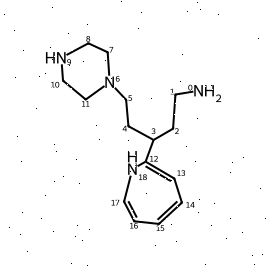 NCCC(CCN1CCNCC1)C1=CC=CC=CN1